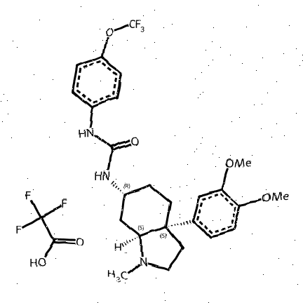 COc1ccc([C@@]23CC[C@@H](NC(=O)Nc4ccc(OC(F)(F)F)cc4)C[C@@H]2N(C)CC3)cc1OC.O=C(O)C(F)(F)F